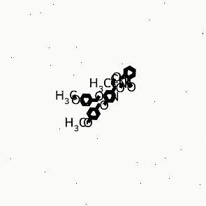 COc1ccc(COc2cnc(C(ON3C(=O)c4ccccc4C3=O)C(C)C)cc2OCc2ccc(OC)cc2)cc1